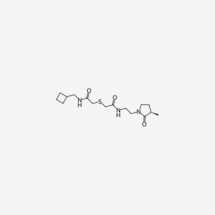 C[C@@H]1CCN(CCNC(=O)CSCC(=O)NCC2CCC2)C1=O